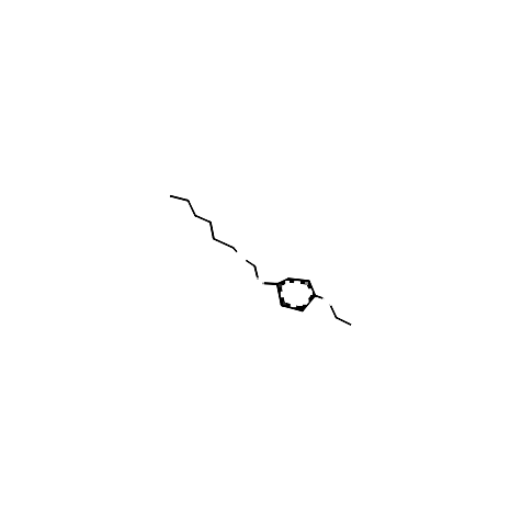 CCCCCCCCOc1ccc(OCC)cc1